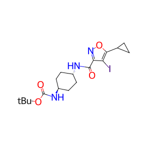 CC(C)(C)OC(=O)N[C@H]1CC[C@H](NC(=O)c2noc(C3CC3)c2I)CC1